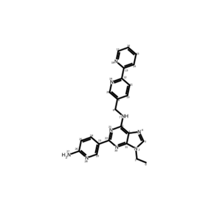 CCn1cnc2c(NCc3ccc(-c4ccccn4)nc3)nc(-c3ccc(N)nc3)nc21